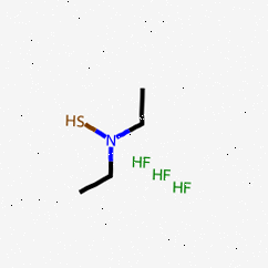 CCN(S)CC.F.F.F